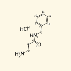 Cl.NCCC(=O)NCc1ccccc1